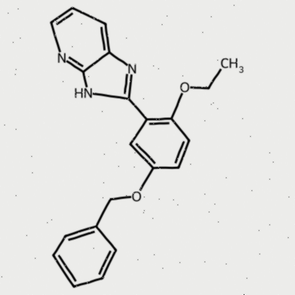 CCOc1ccc(OCc2ccccc2)cc1-c1nc2cccnc2[nH]1